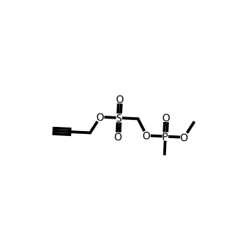 C#CCOS(=O)(=O)COP(C)(=O)OC